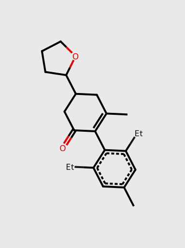 CCc1cc(C)cc(CC)c1C1=C(C)CC(C2CCCO2)CC1=O